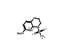 COC1=CC=C2OCCN(S(C)(=O)=O)C2N1